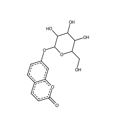 O=c1ccc2ccc(OC3OC(CO)C(O)C(O)C3O)cc2o1